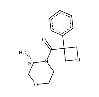 C[C@H]1COCCN1C(=O)C1(c2ccccc2)COC1